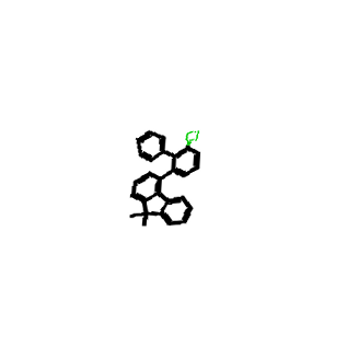 CC1(C)c2ccccc2-c2c(-c3cccc(Cl)c3-c3ccccc3)cccc21